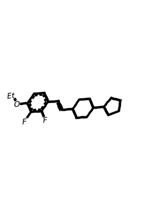 CCOc1ccc(C=CC2CCC(C3CCCC3)CC2)c(F)c1F